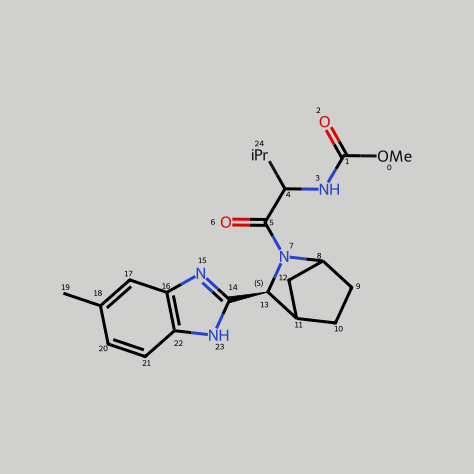 COC(=O)NC(C(=O)N1C2CCC(C2)[C@H]1c1nc2cc(C)ccc2[nH]1)C(C)C